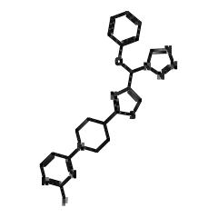 Fc1nccc(N2CCC(c3nc(C(Oc4ccccc4)n4cnnn4)cs3)CC2)n1